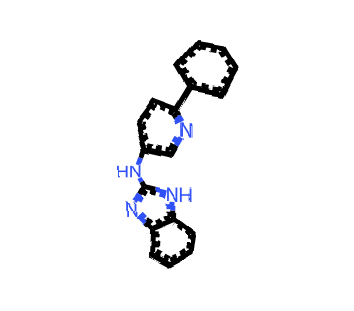 c1ccc(-c2ccc(Nc3nc4ccccc4[nH]3)cn2)cc1